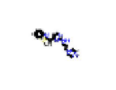 CN1CCN(CCCNc2nccc(C(C#N)c3nc4ccccc4s3)n2)CC1